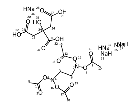 CC(=O)ON(CCN(OC(C)=O)OC(C)=O)OC(C)=O.O=C(O)CC(O)(CC(=O)O)C(=O)O.[NaH].[NaH].[NaH].[NaH].[NaH]